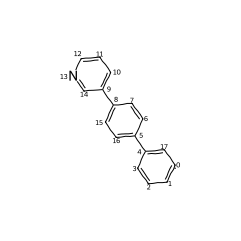 [c]1cccc(-c2ccc(-c3cccnc3)cc2)c1